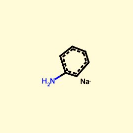 Nc1ccccc1.[Na]